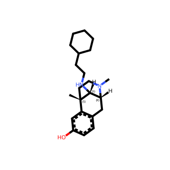 CN1CC[C@@]2(C)c3cc(O)ccc3C[C@@H]1[C@H]2NCCC1CCCCC1